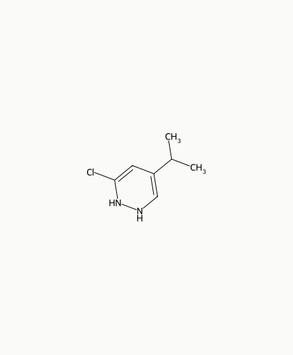 CC(C)C1=CNNC(Cl)=C1